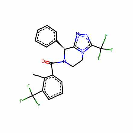 Cc1c(C(=O)N2CCn3c(nnc3C(F)(F)F)[C@@H]2c2ccccc2)cccc1C(F)(F)F